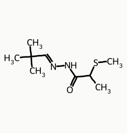 CSC(C)C(=O)N/N=C/C(C)(C)C